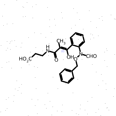 C/C(C(=O)NCCC(=O)O)=C(/O)c1ccccc1N(C=O)OCc1ccccc1